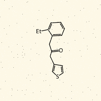 CCc1ccccc1CC(=O)Cc1ccsc1